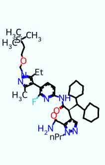 CCCn1ncc([C@@H](C(=O)Nc2ccc(-c3c(C)nn(COCC[Si](C)(C)C)c3CC)c(F)n2)C(C2CCCCC2)C2CCCCC2)c1C(N)=O